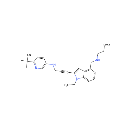 COCCNCc1cccc2c1cc(C#CCNc1ccc(C(C)(C)C#N)nc1)n2CC(F)(F)F